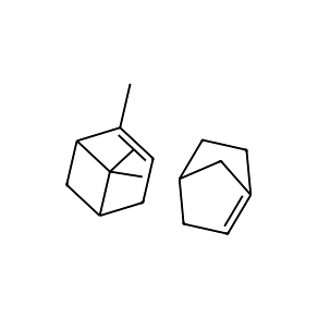 C1=C2CCC(C1)C2.CC1=CCC2CC1C2(C)C